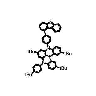 CC(C)(C)c1ccc(N2c3ccc(C(C)(C)C)cc3B3c4cc(C(C)(C)C)ccc4N(c4ccc(-c5cccc6sc7ccccc7c56)cc4)c4cc(C(C)(C)C)cc2c43)cc1